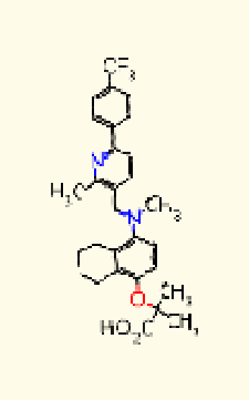 Cc1nc(-c2ccc(C(F)(F)F)cc2)ccc1CN(C)c1ccc(OC(C)(C)C(=O)O)c2c1CCCC2